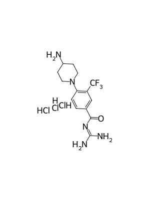 Cl.Cl.Cl.NC(N)=NC(=O)c1ccc(N2CCC(N)CC2)c(C(F)(F)F)c1